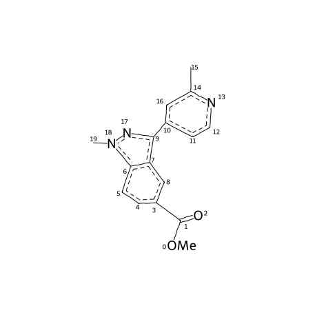 COC(=O)c1ccc2c(c1)c(-c1ccnc(C)c1)nn2C